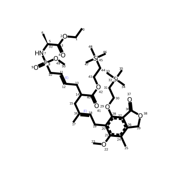 CCOC(=O)[C@H](C)NP(=O)(C/C=C/CC(C/C(C)=C/Cc1c(OC)c(C)c2c(c1OCC[Si](C)(C)C)C(=O)OC2)C(=O)OCC[Si](C)(C)C)OC